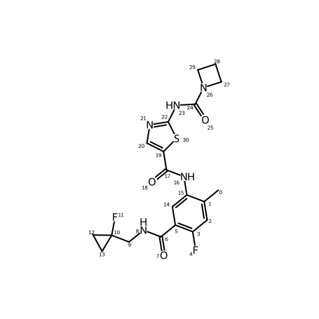 Cc1cc(F)c(C(=O)NCC2(F)CC2)cc1NC(=O)c1cnc(NC(=O)N2CCC2)s1